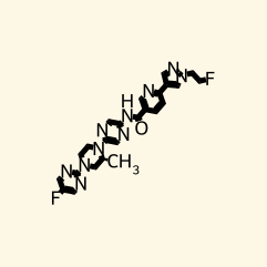 C[C@H]1CN(c2ncc(F)cn2)CCN1c1cnc(NC(=O)c2ccc(-c3cnn(CCF)c3)nc2)cn1